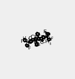 CC1(C)c2cc(N(c3cccc(F)c3)c3cccc(F)c3)ccc2-c2c1cc1c(-c3ccccc3)c3c(cc1c2-c1ccccc1)C(C)(C)c1cc(N(c2cccc(F)c2)c2cccc(F)c2)ccc1-3